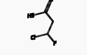 O=C(S)CC(F)Cl